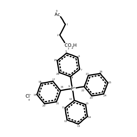 CC(=O)CCC(=O)O.[Cl-].c1ccc([P+](c2ccccc2)(c2ccccc2)c2ccccc2)cc1